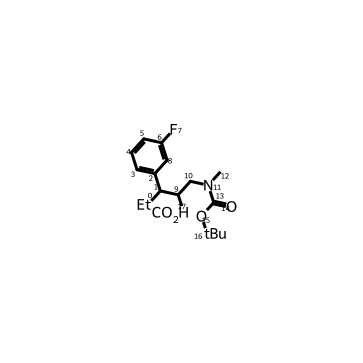 CCC(c1cccc(F)c1)C(CN(C)C(=O)OC(C)(C)C)C(=O)O